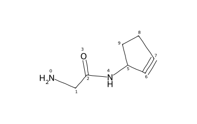 NCC(=O)NC1C#CCC1